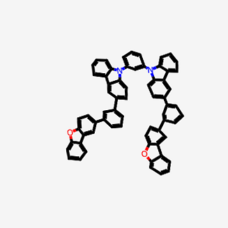 c1cc(-c2ccc3oc4ccccc4c3c2)cc(-c2ccc3c(c2)c2ccccc2n3-c2cccc(-n3c4ccccc4c4cc(-c5cccc(-c6ccc7oc8ccccc8c7c6)c5)ccc43)c2)c1